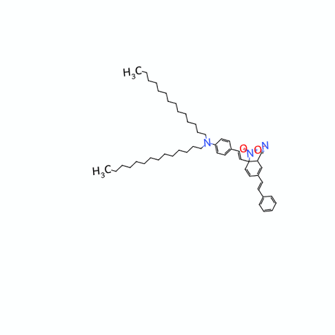 CCCCCCCCCCCCCCN(CCCCCCCCCCCCCC)c1ccc(C=CC2([N+](=O)[O-])C=CC(C=Cc3ccccc3)=CC2C#N)cc1